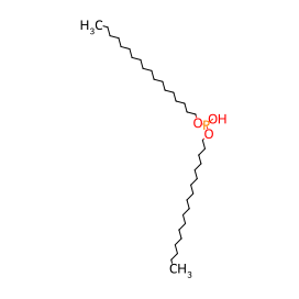 CCCCCCCCCCCCCCCCCCOP(O)OCCCCCCCCCCCCCCCCCC